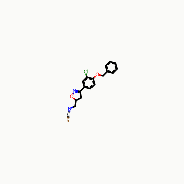 S=C=NCC1CC(c2ccc(OCc3ccccc3)c(Cl)c2)=NO1